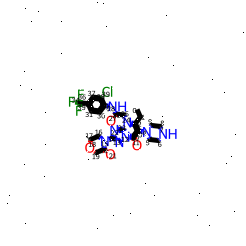 CCc1c(N2CCNCC2)c(=O)n2nc(N3CCOCC3=O)nc2n1CC(=O)Nc1ccc(C(F)(F)F)cc1Cl